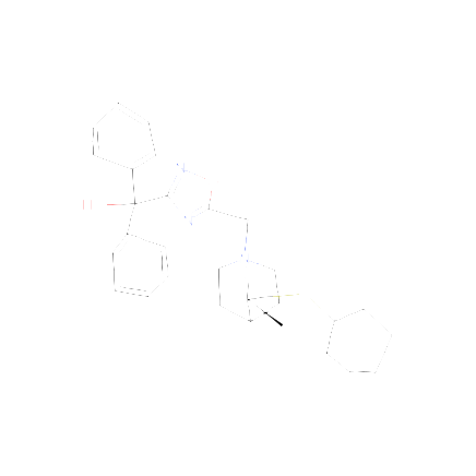 OC(c1ccccc1)(c1ccccc1)c1noc(C[N+]23CCC(CC2)[C@@H](SC2CCCCC2)C3)n1